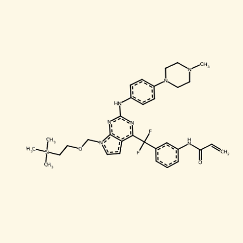 C=CC(=O)Nc1cccc(C(F)(F)c2nc(Nc3ccc(N4CCN(C)CC4)cc3)nc3c2ccn3COCC[Si](C)(C)C)c1